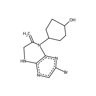 C=C1CNc2ncc(Br)nc2N1C1CCC(O)CC1